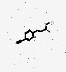 C#Cc1ccc(CC[C@H](C)CC(F)(F)F)cc1